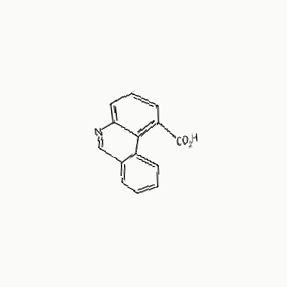 O=C(O)c1c[c]cc2ncc3ccccc3c12